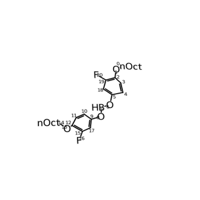 CCCCCCCCOc1ccc(OBOc2ccc(OCCCCCCCC)c(F)c2)cc1F